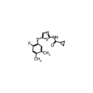 Cc1cc(F)c(Sc2cnc(NC(=O)C3CC3)s2)cc1C